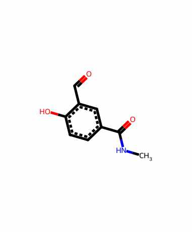 CNC(=O)c1ccc(O)c(C=O)c1